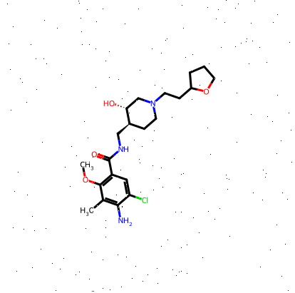 COc1c(C(=O)NC[C@@H]2CCN(CCC3CCCO3)C[C@H]2O)cc(Cl)c(N)c1C